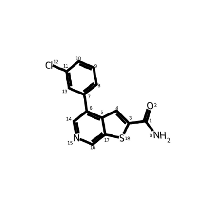 NC(=O)c1cc2c(-c3cccc(Cl)c3)cncc2s1